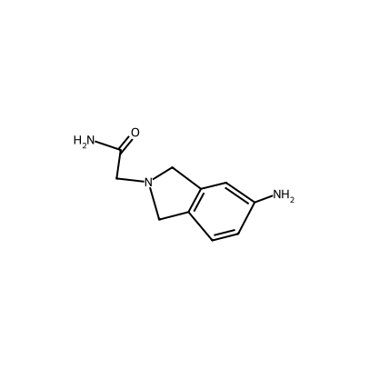 NC(=O)CN1Cc2ccc(N)cc2C1